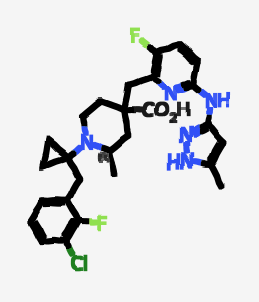 Cc1cc(Nc2ccc(F)c(CC3(C(=O)O)CCN(C4(Cc5cccc(Cl)c5F)CC4)[C@H](C)C3)n2)n[nH]1